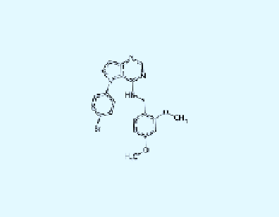 COc1ccc(CNc2ncnc3ccn(-c4ccc(Br)cc4)c23)c(OC)c1